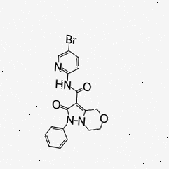 O=C(Nc1ccc(Br)cn1)c1c2n(n(-c3ccccc3)c1=O)CCOC2